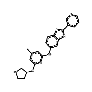 Cc1cc(Nc2cc3nc(-c4cccnc4)sc3cn2)nc(O[C@H]2CCNC2)c1